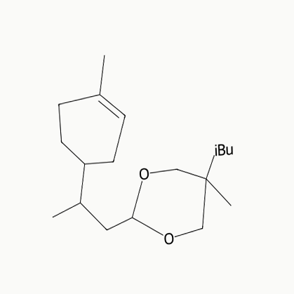 CCC(C)C1(C)COC(CC(C)C2CC=C(C)CC2)OC1